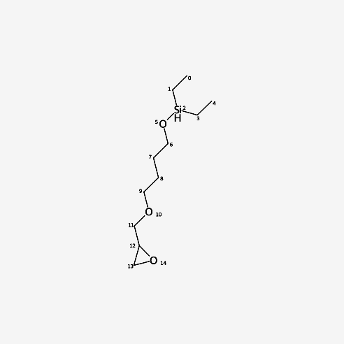 CC[SiH](CC)OCCCCOCC1CO1